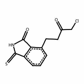 O=C(CCl)CCc1cccc2c1C(=O)NC2=S